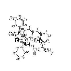 CC(c1cccc(CC2CC[N@@+]3(C[C@H]2C)C(NC2CCCCC2)=NC(=O)N3c2cccc(F)c2)c1)C1CC1